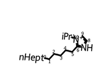 CCCCCCCCCCCCc1[nH]cc[n+]1C(C)C